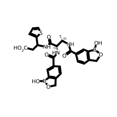 C[C@H](NC(=O)c1ccc2c(c1)B(O)OC2)[C@H](NC(=O)c1ccc2c(c1)B(O)OC2)C(=O)NC(CC(=O)O)c1cccs1